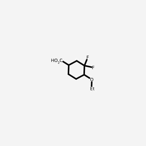 CCOC1CCC(C(=O)O)CC1(F)F